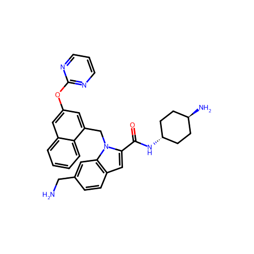 NCc1ccc2cc(C(=O)N[C@H]3CC[C@H](N)CC3)n(Cc3cc(Oc4ncccn4)cc4ccccc34)c2c1